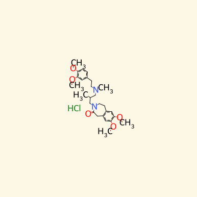 COc1ccc(CCN(C)CC(C)CN2CCc3cc(OC)c(OC)cc3CC2=O)cc1OC.Cl